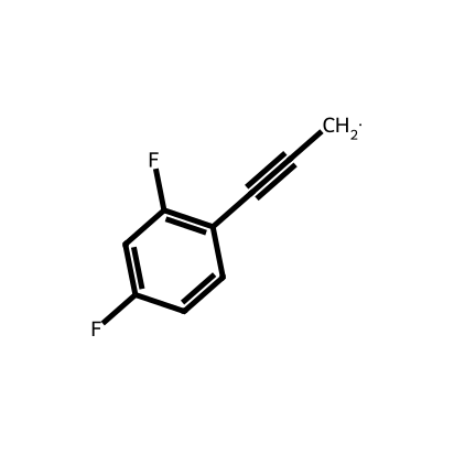 [CH2]C#Cc1ccc(F)cc1F